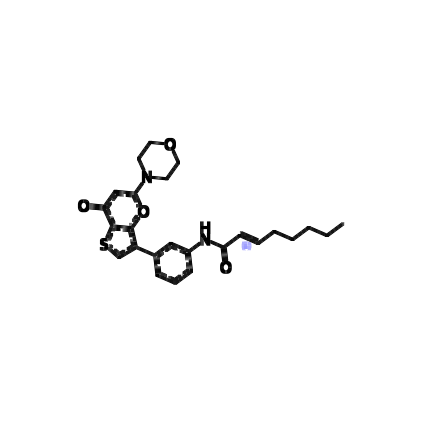 CCCCC/C=C/C(=O)Nc1cccc(-c2csc3c(=O)cc(N4CCOCC4)oc23)c1